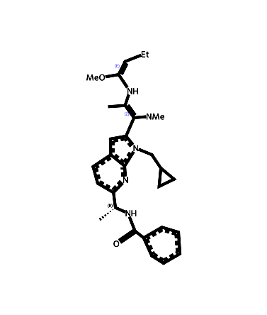 CC/C=C(\N/C(C)=C(\NC)c1cc2ccc([C@@H](C)NC(=O)c3ccccc3)nc2n1CC1CC1)OC